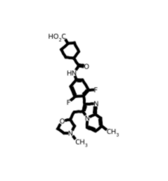 Cc1ccn2c(CC3CN(C)CCO3)c(-c3c(F)cc(NC(=O)C4CCC(C(=O)O)CC4)cc3F)nc2c1